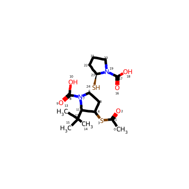 CC(=O)SC1CCN(C(=O)O)C1C(C)(C)C.O=C(O)N1CCC[C@@H]1S